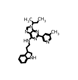 CCC(C)n1cnc2c(NCCC3CNc4ccccc43)nc(-c3cncc(C)c3)nc21